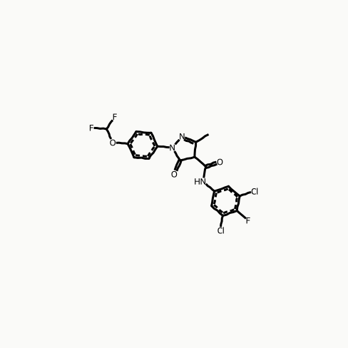 CC1=NN(c2ccc(OC(F)F)cc2)C(=O)C1C(=O)Nc1cc(Cl)c(F)c(Cl)c1